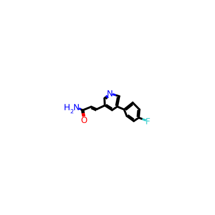 NC(=O)/C=C/c1cncc(-c2ccc(F)cc2)c1